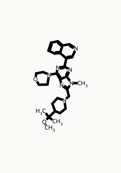 COC(C)(C)C1CCN(Cc2nc3c(N4CCOCC4)nc(-c4cncc5ccccc45)nc3n2C)CC1